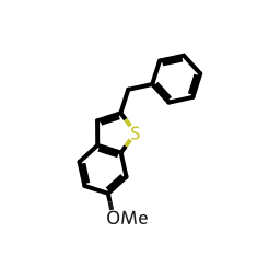 COc1ccc2cc(Cc3ccccc3)sc2c1